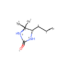 [2H]C1([2H])NC(=O)NC1CCC